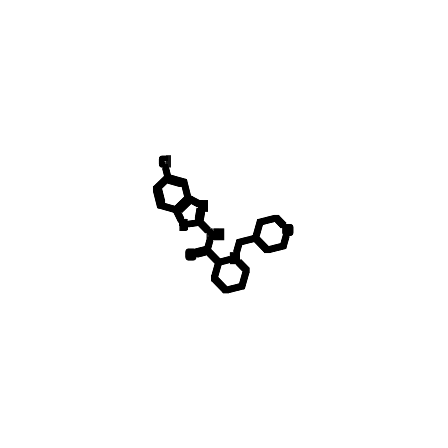 O=C(Nc1nc2cc(Cl)ccc2s1)C1CCCCN1CC1CCOCC1